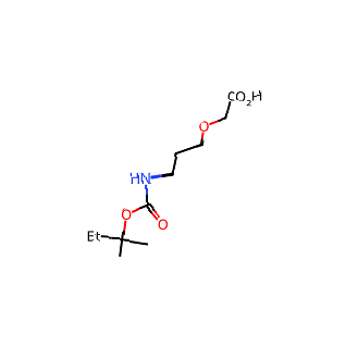 CCC(C)(C)OC(=O)NCCCOCC(=O)O